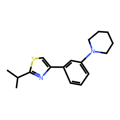 CC(C)c1nc(-c2cccc(N3CCCCC3)c2)cs1